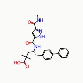 CNC(=O)c1cc(C(=O)N[C@H](Cc2ccc(-c3ccccc3)cc2)CC(C)(C)C(=O)O)[nH]n1